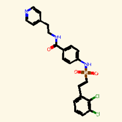 O=C(NCCc1ccncc1)c1ccc(NS(=O)(=O)CCc2cccc(Cl)c2Cl)cc1